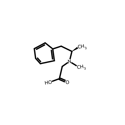 C[C@H](Cc1ccccc1)N(C)CC(=O)O